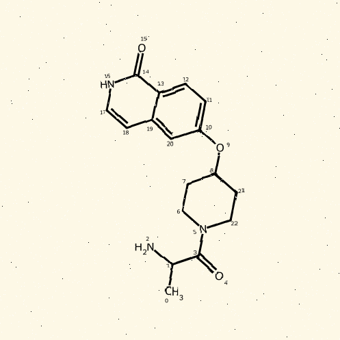 CC(N)C(=O)N1CCC(Oc2ccc3c(=O)[nH]ccc3c2)CC1